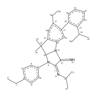 CCc1ccc(N2/C(=N/C(C)C)C(=N)N3c4cc(-c5ccccc5C(C)C)c(CC)cc4C(C)(C)C32)cc1